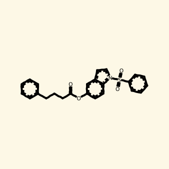 O=C(CCCc1ccccc1)Oc1ccc2c(ccn2S(=O)(=O)c2ccccc2)c1